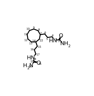 NC(=O)NCCCC1CCCCCCC(CCCNC(N)=O)C1